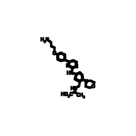 CC(NCc1cc(Nc2nccc(-c3ccc(OCCCN)cc3)n2)ccc1N1CCOCC1)C(=O)O